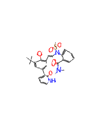 COc1c(C=CN(c2ccccc2C(=O)N(C)C)S(C)(=O)=O)cc(-c2ccc[nH]c2=O)cc1C(C)(C)C